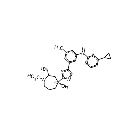 Cc1cc(Nc2nccc(C3CC3)n2)cc(-c2cnc([C@]3(O)CCCN(C(=O)O)C(C(C)(C)C)C3)s2)c1